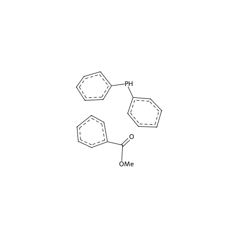 COC(=O)c1ccccc1.c1ccc(Pc2ccccc2)cc1